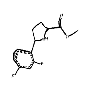 COC(=O)C1CCC(c2ccc(F)cc2F)N1